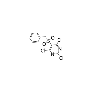 O=S(=O)(Cc1ccccc1)c1c(Cl)nc(Cl)nc1Cl